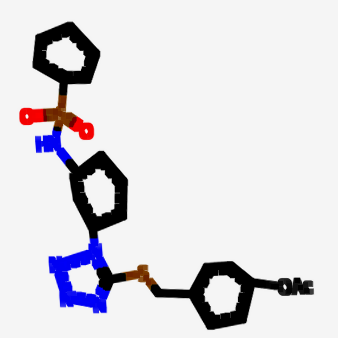 CC(=O)Oc1ccc(CSc2nnnn2-c2cccc(NS(=O)(=O)c3ccccc3)c2)cc1